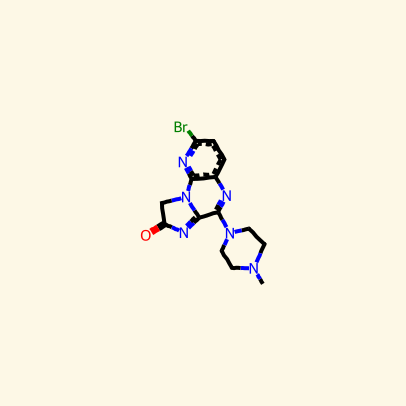 CN1CCN(C2=Nc3ccc(Br)nc3N3CC(=O)N=C23)CC1